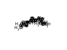 COC(=O)N[C@H](C(=O)N1CCC[C@H]1c1ncc(-c2cc3c4c(c2)Oc2ccc(-c5cnc([C@@H]6CCCN6C(=O)[C@@H](NC(=O)CO)C(C)C)[nH]5)cc2N4CCC3)[nH]1)C(C)C